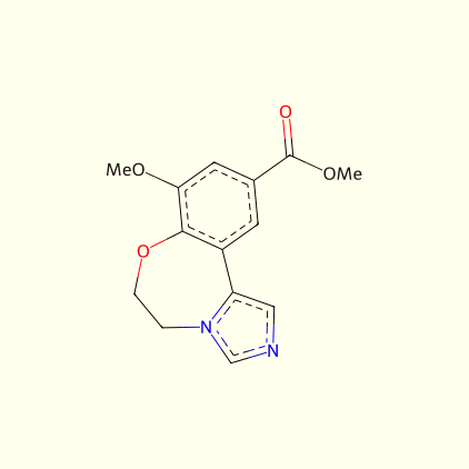 COC(=O)c1cc(OC)c2c(c1)-c1cncn1CCO2